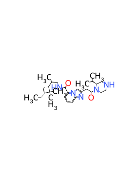 CC[C@@H]1C[C@H]([C@@H](C)CNC(=O)c2cccc3nc(CC(=O)N4CCNC[C@@H]4C(C)C)cn23)C1(C)C